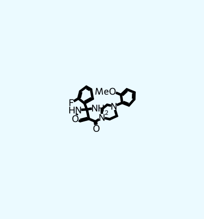 COc1ccccc1N1CCN(C(=O)C2=CONC2(N)c2ccccc2F)CC1